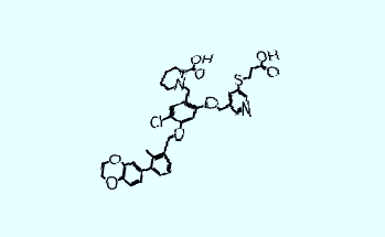 Cc1c(COc2cc(OCc3cncc(SCCC(=O)O)c3)c(CN3CCCC[C@H]3C(=O)O)cc2Cl)cccc1-c1ccc2c(c1)OCCO2